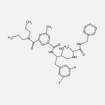 CCCN(CCC)C(=O)c1cc(C)cc(C(=O)NC(Cc2cc(F)cc(F)c2)C(O)CNC(C)C(=O)NCc2ccccc2)c1